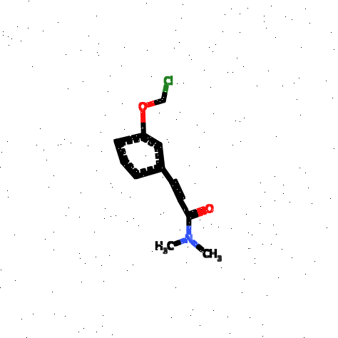 CN(C)C(=O)C=Cc1cccc(OCCl)c1